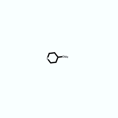 CO[C]1CCSCC1